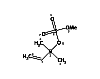 C=C[Si](C)(C)OS(=O)(=O)OC